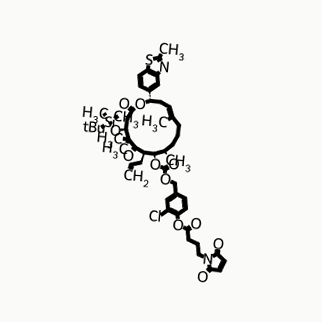 C=CC[C@H]1C(=O)C(C)(C)[C@@H](O[Si](C)(C)C(C)(C)C)CC(=O)O[C@H](c2ccc3sc(C)nc3c2)C/C=C(\C)CCC[C@H](C)[C@@H]1OC(=O)OCc1ccc(OC(=O)CCCN2C(=O)C=CC2=O)c(Cl)c1